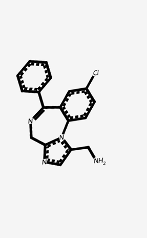 NCc1cnc2n1-c1ccc(Cl)cc1C(c1ccccc1)=NC2